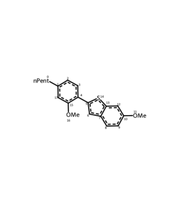 CCCCCc1ccc(-c2cc3ccc(OC)cc3s2)c(OC)c1